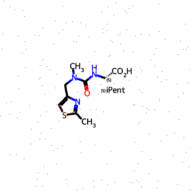 CCC[C@H](C)[C@H](NC(=O)N(C)Cc1csc(C)n1)C(=O)O